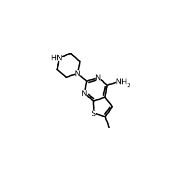 Cc1cc2c(N)nc(N3CCNCC3)nc2s1